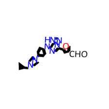 O=Cc1coc(-c2cnc(Nc3ccc(N4CCN(CC5CC5)CC4)cc3)c3ncnn23)c1